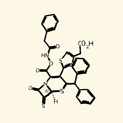 O=C(O)Cc1csc(C2=C(C(=O)ONC(=O)Cc3ccccc3)N3C(=O)C(=S)[C@@H]3SC2C(c2ccccc2)c2ccccc2)n1